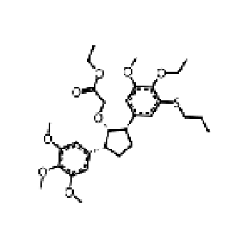 CCCSc1cc([C@H]2CC[C@H](c3cc(OC)c(OC)c(OC)c3)[C@@H]2OCC(=O)OCC)cc(OC)c1OCC